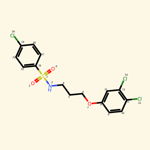 O=S(=O)(NCCCOc1ccc(Cl)c(Cl)c1)c1ccc(Cl)cc1